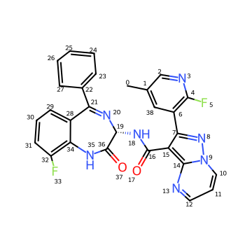 Cc1cnc(F)c(-c2nn3cccnc3c2C(=O)N[C@H]2N=C(c3ccccc3)c3cccc(F)c3NC2=O)c1